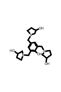 Oc1c(CN2CCC(O)C2)cc(CN2CCC(O)C2)cc1CN1CCC(O)C1